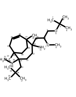 COC(COC(C)(C)C)CC1(N)CCC(CC(C)(C)C)(NN)C2(C)CC=CC1(C)CC2